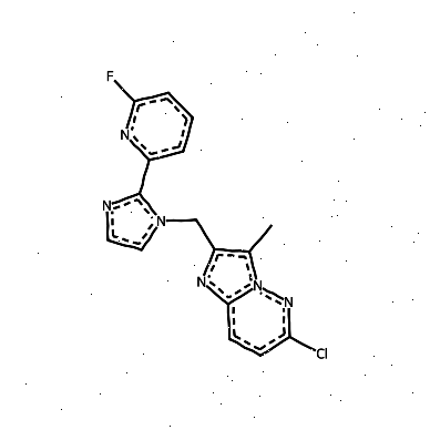 Cc1c(Cn2ccnc2-c2cccc(F)n2)nc2ccc(Cl)nn12